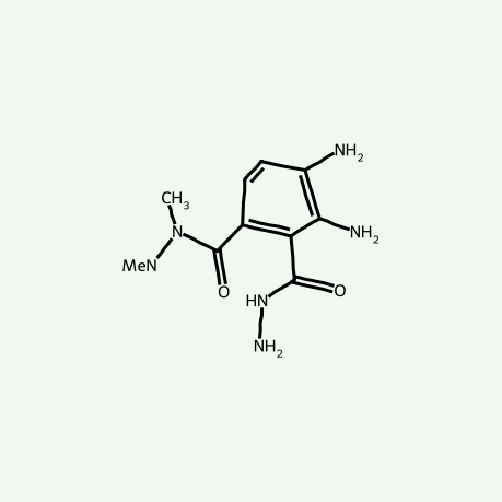 CNN(C)C(=O)c1ccc(N)c(N)c1C(=O)NN